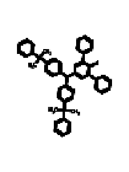 CC(C)(c1ccccc1)c1ccc(N(c2ccc(C(C)(C)c3ccccc3)cc2)c2cc(-c3ccccc3)c(I)c(-c3ccccc3)c2)cc1